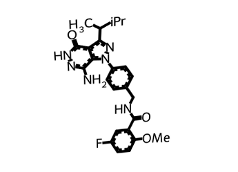 COc1ccc(F)cc1C(=O)NCc1ccc(-n2nc(C(C)C(C)C)c3c(=O)[nH]nc(N)c32)cc1